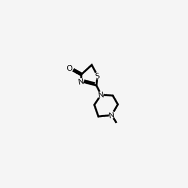 CN1CCN(C2=NC(=O)CS2)CC1